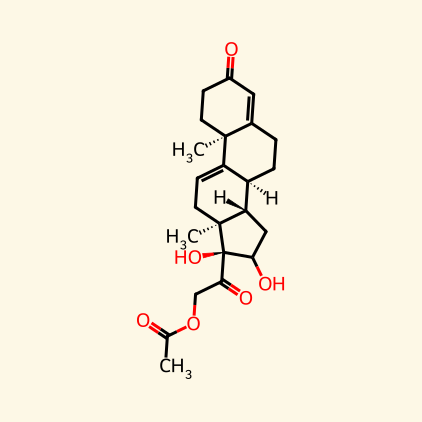 CC(=O)OCC(=O)[C@@]1(O)C(O)C[C@H]2[C@@H]3CCC4=CC(=O)CC[C@]4(C)C3=CC[C@@]21C